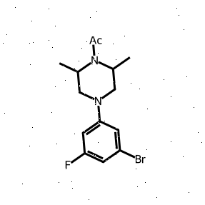 CC(=O)N1C(C)CN(c2cc(F)cc(Br)c2)CC1C